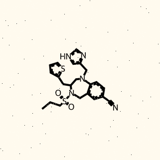 CCCS(=O)(=O)N1Cc2cc(C#N)ccc2N(Cc2c[nH]cn2)CC1Cc1cccs1